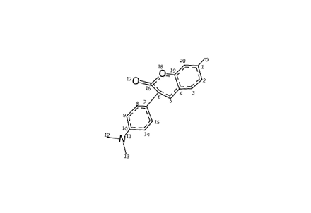 Cc1ccc2cc(-c3ccc(N(C)C)cc3)c(=O)oc2c1